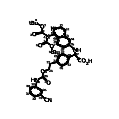 CC(C)(C)OC(=O)N(C(=O)OC(C)(C)C)c1nccc2cc(NC(C(=O)O)c3ccc(CCOC(=O)Nc4cccc(C#N)c4)cc3)ccc12